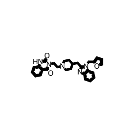 O=c1[nH]c2ccccc2c(=O)n1CCN1CCC(Cc2nc3ccccc3n2Cc2ccco2)CC1